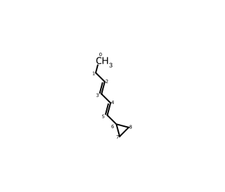 CCC=CC=CC1CC1